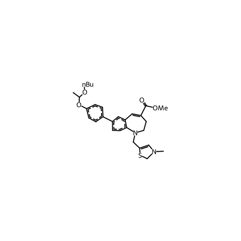 CCCCOC(C)Oc1ccc(-c2ccc3c(c2)C=C(C(=O)OC)CCN3CC2=CN(C)CS2)cc1